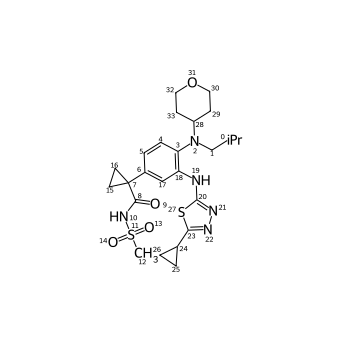 CC(C)CN(c1ccc(C2(C(=O)NS(C)(=O)=O)CC2)cc1Nc1nnc(C2CC2)s1)C1CCOCC1